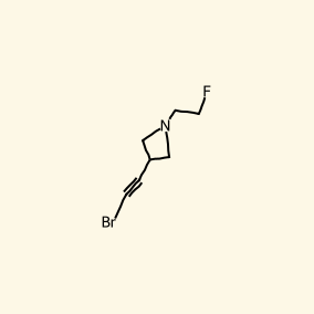 FCCN1CC(C#CBr)C1